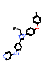 Cc1ccc(Oc2ccc(-n3cc(-c4ccc(Nc5ccncc5)cc4)nc3CC(C)C)cc2)cc1